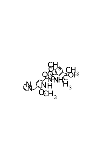 COc1ccc(C(C)(C)O)cc1S(=N)(=O)NC(=O)c1ccc(Cn2cccn2)c(OC)n1